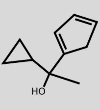 CC(O)(C1=CC=CC1)C1CC1